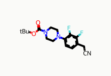 CC(C)(C)OC(=O)N1CCN(c2ccc(CC#N)c(F)c2F)CC1